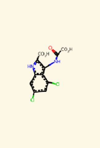 O=C(O)C(=O)Nc1c(C(=O)O)[nH]c2cc(Cl)cc(Cl)c12